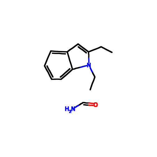 CCc1cc2ccccc2n1CC.NC=O